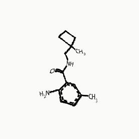 Cc1ccc(N)c(C(=O)NCC2(C)CCC2)c1